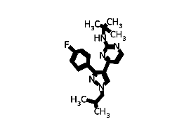 CC(C)Cn1cc(-c2ccnc(NC(C)(C)C)n2)c(-c2ccc(F)cc2)n1